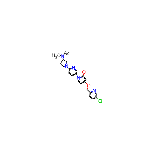 CC(=O)N(C)C1CCN(c2ccc(-n3ccc(OCc4ccc(Cl)cn4)cc3=O)cn2)C1